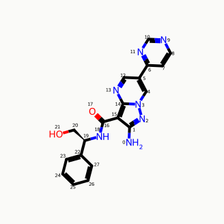 Nc1nn2cc(-c3ccncn3)cnc2c1C(=O)N[C@H](CO)c1ccccc1